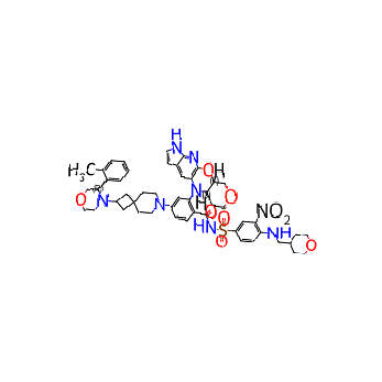 Cc1ccccc1[C@@H]1COCCN1C1CC2(CCN(c3ccc(C(=O)NS(=O)(=O)c4ccc(NCC5CCOCC5)c([N+](=O)[O-])c4)c(N4c5cc6cc[nH]c6nc5O[C@H]5COCC[C@@H]54)c3)CC2)C1